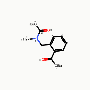 CCCCCCN(Cc1ccccc1C(=O)OCC(C)C)C(=O)OCC(C)C